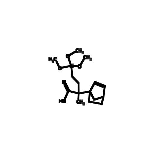 CO[Si](CCC(C)(C(=O)O)C12C=CC(CC1)C2)(OC)OC